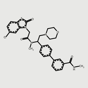 CNC(=O)c1cccc(-c2ccc(C(CN3CCOCC3)N(C)C(=O)Cn3c(=O)sc4ccc(Cl)cc43)cc2)c1